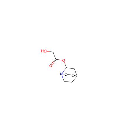 O=C(CO)OC1CC2CCN1CC2